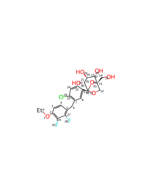 CCOc1ccc(Cc2cc([C@]34OC[C@](CO)(O3)[C@@H](O)[C@H](O)[C@H]4O)ccc2Cl)c(F)c1F